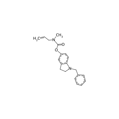 C=CCN(C)C(=O)Oc1ccc2c(c1)CCN2Cc1ccccc1